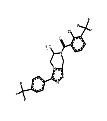 CC1Cn2c(nnc2-c2ccc(C(F)(F)F)cc2)CN1C(=O)c1cccc(C(F)(F)F)c1Cl